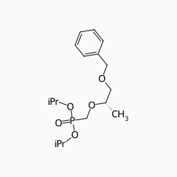 CC(C)OP(=O)(CO[C@@H](C)COCc1ccccc1)OC(C)C